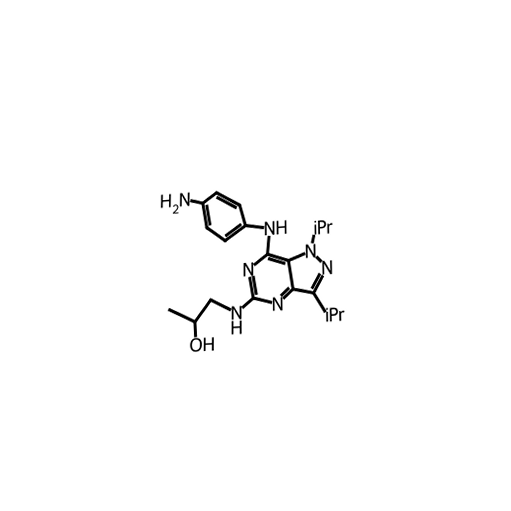 CC(O)CNc1nc(Nc2ccc(N)cc2)c2c(n1)c(C(C)C)nn2C(C)C